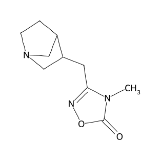 Cn1c(CC2CN3CCC2C3)noc1=O